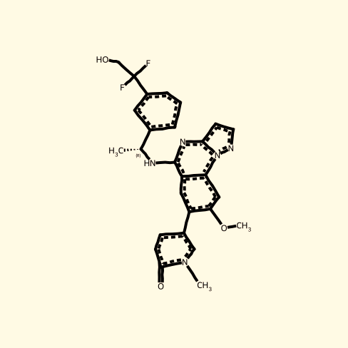 COc1cc2c(cc1-c1ccc(=O)n(C)c1)c(N[C@H](C)c1cccc(C(F)(F)CO)c1)nc1ccnn12